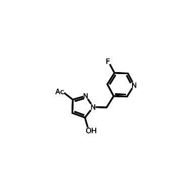 CC(=O)c1cc(O)n(Cc2cncc(F)c2)n1